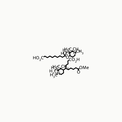 CN1CCC(OC(=O)CCCCCCCCC(=O)O)C(C)(C)C1(C)C.COC(=O)CCCCC(CCCC(=O)O)C1CCN(C)C(C)(C)C1(C)C